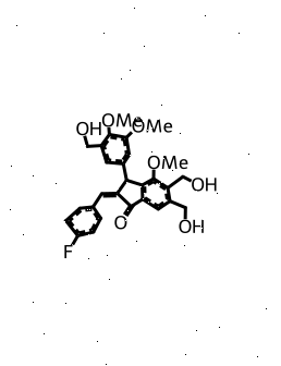 COc1cc(C2/C(=C/c3ccc(F)cc3)C(=O)c3cc(CO)c(CO)c(OC)c32)cc(CO)c1OC